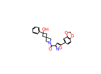 O=C(c1cc(-c2ccc3c(c2)OCO3)on1)N1CC2(C1)CC(O)(c1ccccc1)C2